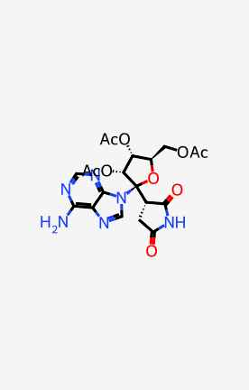 CC(=O)OC[C@H]1O[C@@]([C@H]2CC(=O)NC2=O)(n2cnc3c(N)ncnc32)[C@H](OC(C)=O)[C@@H]1OC(C)=O